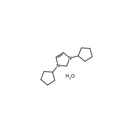 C1=CN(C2CCCC2)CN1C1CCCC1.O